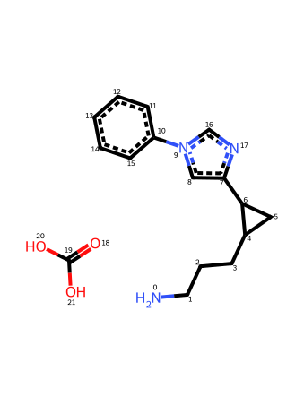 NCCCC1CC1c1cn(-c2ccccc2)cn1.O=C(O)O